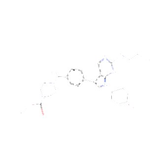 CC(c1ccc(-c2cn([C@H]3CC[C@H](O)CC3)c3nc(NCCC(F)(F)F)ncc23)cc1)N1CCN(C(=O)OC(C)(C)C)CC1